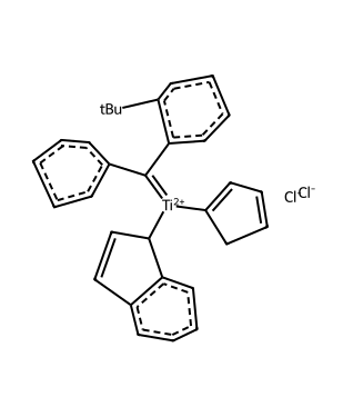 CC(C)(C)c1ccccc1[C](c1ccccc1)=[Ti+2]([C]1=CC=CC1)[CH]1C=Cc2ccccc21.[Cl-].[Cl-]